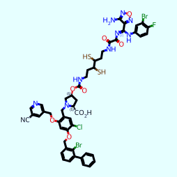 N#Cc1cncc(COc2cc(OCc3cccc(-c4ccccc4)c3Br)c(Cl)cc2CN2C[C@@H](OC(=O)NCCC(S)C(S)CCNC(=O)C(=O)/N=C(\Nc3ccc(F)c(Br)c3)c3nonc3N)C[C@H]2C(=O)O)c1